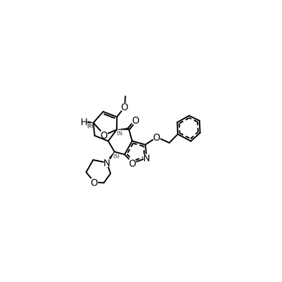 COC1=C[C@H]2CC3[C@H](N4CCOCC4)c4onc(OCc5ccccc5)c4C(=O)[C@@]13O2